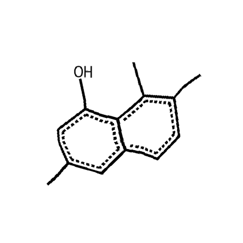 Cc1cc(O)c2c(C)c(C)ccc2c1